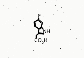 O=C(O)Cc1c[nH]c2cc(F)ccc12